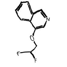 FC(F)COc1cncc2ccccc12